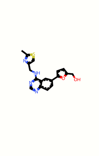 Cc1nc(CNc2ncnc3ccc(-c4ccc(CO)o4)cc23)cs1